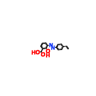 C=Cc1ccc(/N=N/c2cccc(C(=O)O)c2O)cc1